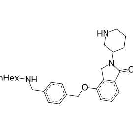 CCCCCCNCc1ccc(COc2cccc3c2CN(C2CCCNC2)C3=O)cc1